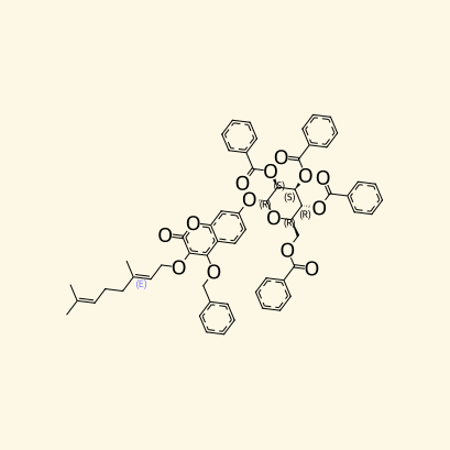 CC(C)=CCC/C(C)=C/COc1c(OCc2ccccc2)c2ccc(O[C@H]3O[C@H](COC(=O)c4ccccc4)[C@@H](OC(=O)c4ccccc4)[C@H](OC(=O)c4ccccc4)[C@@H]3OC(=O)c3ccccc3)cc2oc1=O